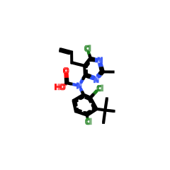 C=CCc1c(Cl)nc(C)nc1N(C(=O)O)c1ccc(Cl)c(C(C)(C)C)c1Cl